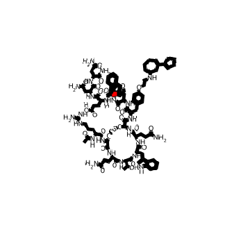 CC(=O)NC(CCCNC(=N)N)C(=O)NC1CCSCC(C(=O)NC(Cc2ccc(OCCNC3CCCCC(C4CCCC4)C3)cc2)C(=O)NC(Cc2ccc3ccccc3c2)C(=O)NC2(C(=O)NC(CCC(=O)O)C(=O)NC(CC(N)=O)C(=O)NC(CC(N)=O)C(N)=O)CCOCC2)NC(=O)C(CCC(N)=O)NC(=O)C(Cc2c[nH]c3ccccc23)NC(=O)C(C(C)O)NC(=O)C(CCC(N)=O)NC1=O